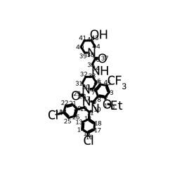 CCOc1cc(C(F)(F)F)ccc1C1=NC(c2ccc(Cl)cc2)C(c2ccc(Cl)cc2)N1C(=O)N1CCC(NCC(=O)N2CCCC(O)C2)CC1